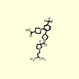 CC(C)CCN1CC[C@](F)(C(=O)N2CCC(c3ccc(C(F)(F)F)cc3N3CCC(C(=O)O)CC3)CC2)C1